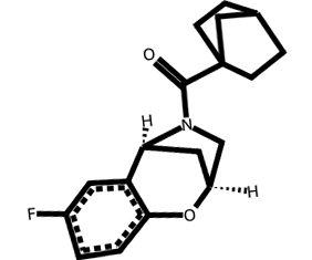 O=C(N1C[C@@H]2C[C@H]1c1cc(F)ccc1O2)C12CCC(CC1)C2